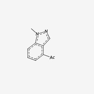 CC(=O)c1cccc2c1cnn2C